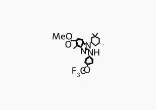 COC(=O)c1ccc2c(nc(Nc3ccc(OC(F)(F)F)cc3)n2[C@H]2C[C@@H](C)CC(C)(C)C2)c1C